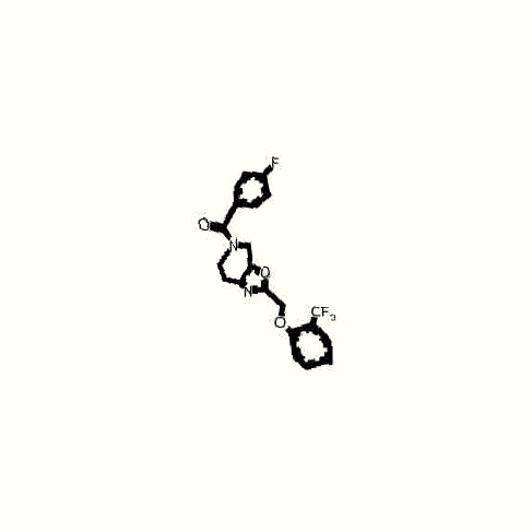 O=C(c1ccc(F)cc1)N1CCc2nc(COc3ccccc3C(F)(F)F)oc2C1